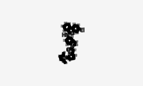 Cc1ccc(C)n1-c1cccc(CC(=O)N2CCc3cc(NC(=O)C4=C(c5ccc(Cl)cc5)CCCC4)ccc32)n1